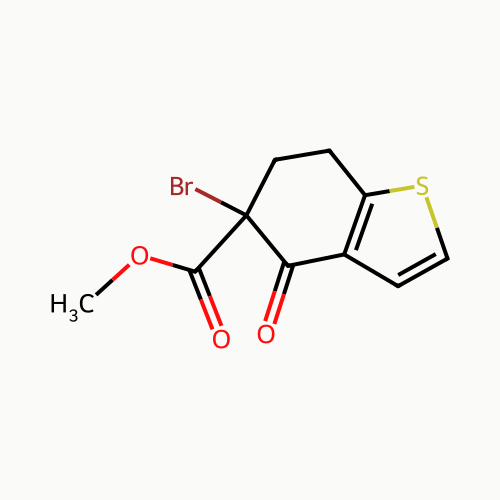 COC(=O)C1(Br)CCc2sccc2C1=O